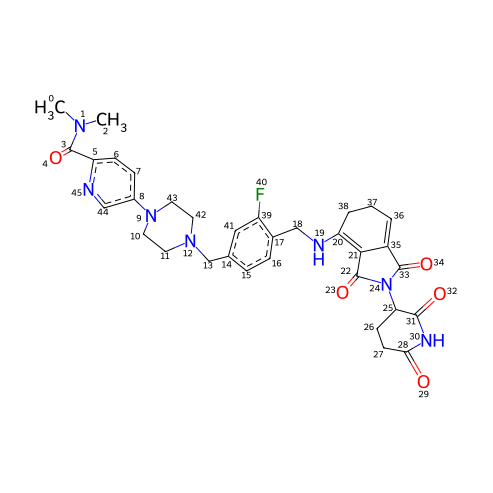 CN(C)C(=O)c1ccc(N2CCN(Cc3ccc(CNC4=C5C(=O)N(C6CCC(=O)NC6=O)C(=O)C5=CCC4)c(F)c3)CC2)cn1